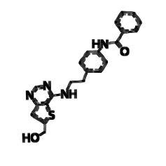 O=C(Nc1ccc(CCNc2ncnc3cc(CO)sc23)cc1)c1ccccc1